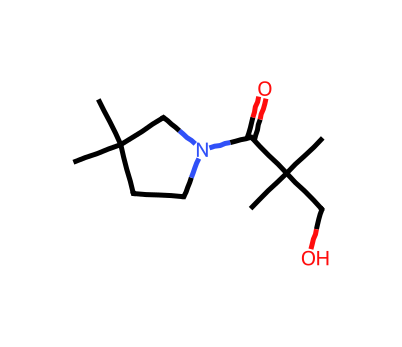 CC1(C)CCN(C(=O)C(C)(C)CO)C1